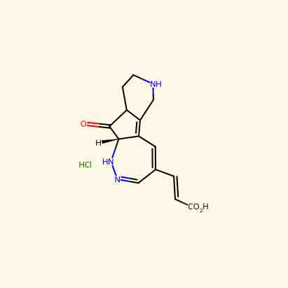 Cl.O=C(O)/C=C/C1=CC2=C3CNCCC3C(=O)[C@H]2NN=C1